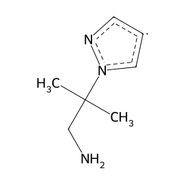 CC(C)(CN)n1c[c]cn1